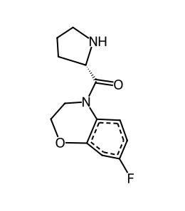 O=C([C@@H]1CCCN1)N1CCOc2cc(F)ccc21